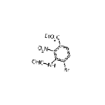 CCOC(=O)c1ccc(Br)c(NC=O)c1[N+](=O)[O-]